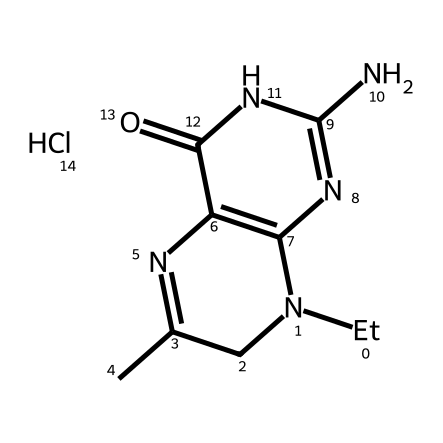 CCN1CC(C)=Nc2c1nc(N)[nH]c2=O.Cl